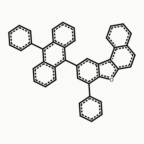 c1ccc(-c2c3ccccc3c(-c3cc(-c4ccccc4)c4oc5ccc6ccccc6c5c4c3)c3ccccc23)cc1